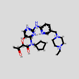 CCN1CCN(Cc2ccc(Nc3ncc4c(n3)N(C3CCCC3)C(=O)C(C(C)=O)O4)nc2)CC1